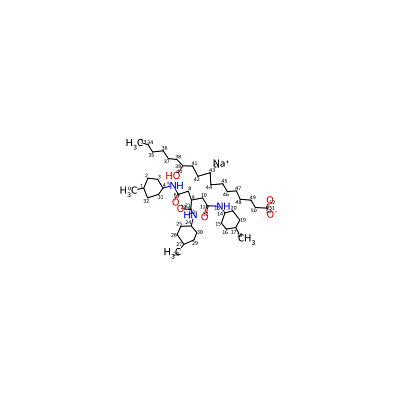 CC1CCC(NC(=O)CC(CC(=O)NC2CCC(C)CC2)C(=O)NC2CCC(C)CC2)CC1.CCCCCCC(O)CCCCCCCCCCC(=O)[O-].[Na+]